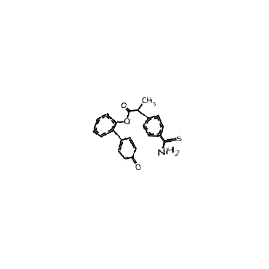 CC(C(=O)Oc1ccccc1C1=CCC(=O)C=C1)c1ccc(C(N)=S)cc1